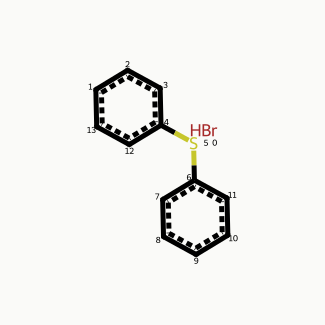 Br.c1ccc(Sc2ccccc2)cc1